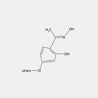 CCCCCCOc1ccc(/C(C)=N/O)c(O)c1